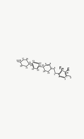 Cc1ccc(CCC2C=CC(c3ccc(C4CCC(C)CC4)cc3)CC2)c(F)c1F